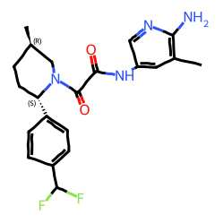 Cc1cc(NC(=O)C(=O)N2C[C@H](C)CC[C@H]2c2ccc(C(F)F)cc2)cnc1N